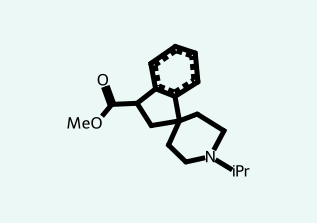 COC(=O)C1CC2(CCN(C(C)C)CC2)c2ccccc21